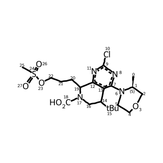 C[C@H]1COCCN1c1nc(Cl)nc2c1C(C(C)(C)C)CN(C(=O)O)C2CCCOS(C)(=O)=O